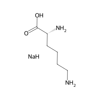 NCCCC[C@@H](N)C(=O)O.[NaH]